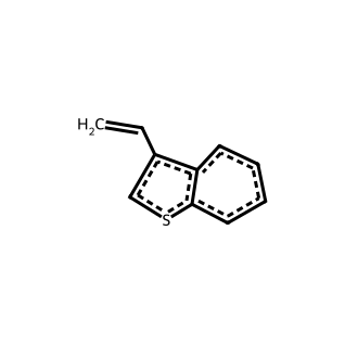 C=Cc1csc2ccccc12